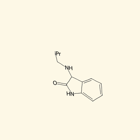 CC(C)CNC1C(=O)Nc2ccccc21